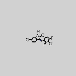 O=C1Nc2cc(Cl)ccc2/C1=C/c1ccc(F)c(Cl)c1F